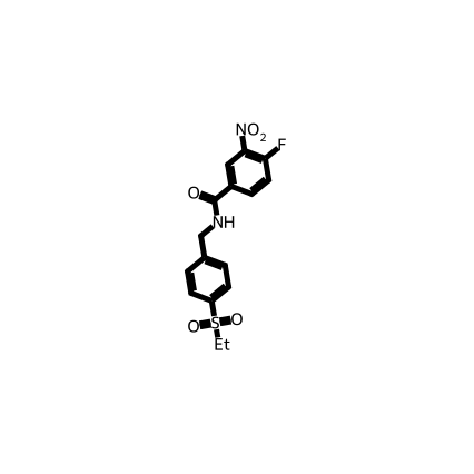 CCS(=O)(=O)c1ccc(CNC(=O)c2ccc(F)c([N+](=O)[O-])c2)cc1